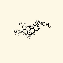 CNc1ccc2nc(C)nc(NC(C)c3cc(N)cc(N)c3)c2c1